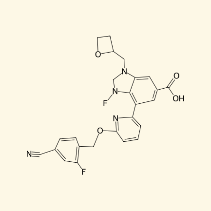 N#Cc1ccc(COc2cccc(-c3cc(C(=O)O)cc4c3N(F)CN4CC3CCO3)n2)c(F)c1